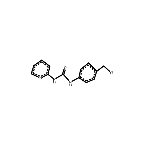 O=C(Nc1ccc(CCl)cc1)Nc1ccccn1